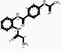 CC(=O)Nc1ccc(C(=O)Nc2ccccc2NC(=O)CN)cc1